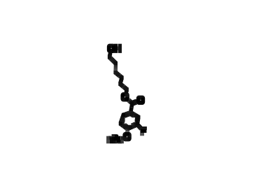 CCCCOc1ccc(C(=O)OCCCCCCO)cc1F